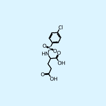 O=C(O)CCC(NS(=O)(=O)c1ccc(Cl)cc1)C(=O)O